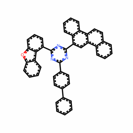 c1ccc(-c2ccc(-c3nc(-c4cc5c6ccccc6ccc5c5ccccc45)nc(-c4cccc5oc6ccccc6c45)n3)cc2)cc1